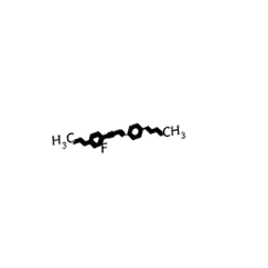 CCCCC[C@H]1CC[C@H](C=CC#Cc2ccc(CCCC)cc2F)CC1